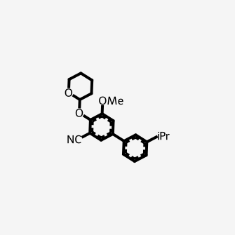 COc1cc(-c2cccc(C(C)C)c2)cc(C#N)c1OC1CCCCO1